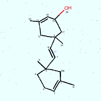 CC1=CCCC(C)(/C=C/C2(C)CC(C)=CC(O)C2)C1